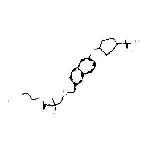 CCCOC(=O)C(C)(C)CNCc1ccc2cc(OC3CCC(C(C)(C)C)CC3)ccc2c1